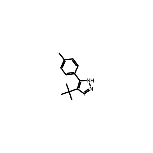 Cc1ccc(-c2[nH]n[c]c2C(C)(C)C)cc1